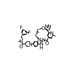 Cc1cc2cc(n1)-c1cnn(C)c1OCCCCCN1/C(=N/C2=O)Nc2ccc(N3CCC(C(=O)N(C)CCc4cc(F)cc(F)c4)CC3)cc21